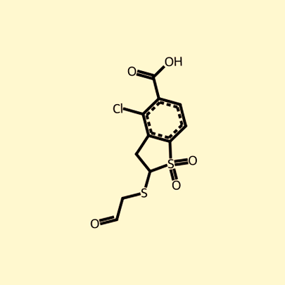 O=CCSC1Cc2c(ccc(C(=O)O)c2Cl)S1(=O)=O